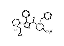 O=C(O)N1CCN(C(=O)c2ncn([C@H]3CCCC[C@]3(O)CC3CC3)c2-c2ccccc2)[C@H](Cc2ccccc2)C1